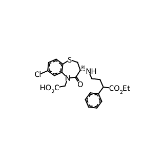 CCOC(=O)C(CCN[C@H]1CSc2ccc(Cl)cc2N(CC(=O)O)C1=O)c1ccccc1